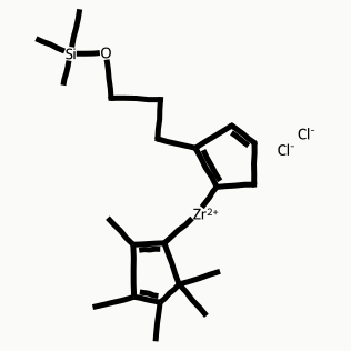 CC1=C(C)C(C)(C)[C]([Zr+2][C]2=C(CCCO[Si](C)(C)C)C=CC2)=C1C.[Cl-].[Cl-]